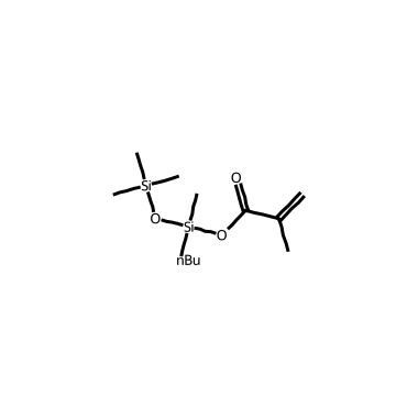 C=C(C)C(=O)O[Si](C)(CCCC)O[Si](C)(C)C